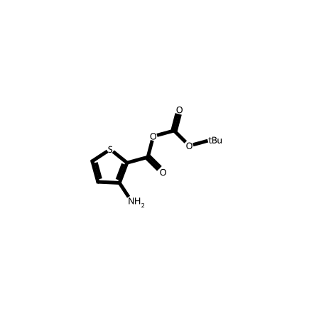 CC(C)(C)OC(=O)OC(=O)c1sccc1N